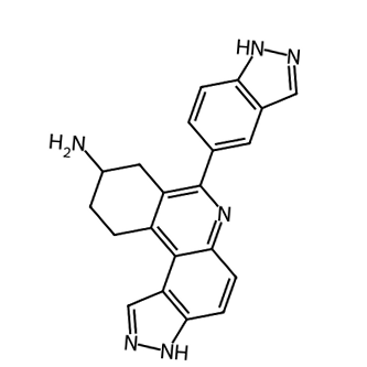 NC1CCc2c(c(-c3ccc4[nH]ncc4c3)nc3ccc4[nH]ncc4c23)C1